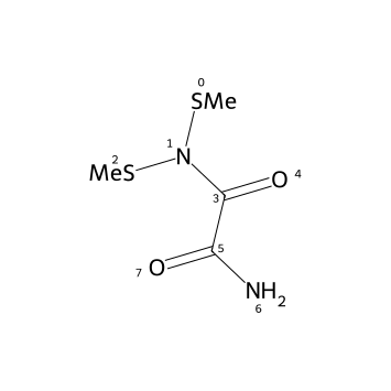 CSN(SC)C(=O)C(N)=O